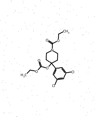 CCOC(=O)OC1(c2cc(Cl)cc(Cl)c2)CCN(C(=O)OCC)CC1